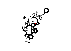 CC(C)[C@@H]1NC(=O)[C@@H](NC(=O)OCc2ccccc2)Cc2ccc3c(c2)[C@]24c5cccc(c5NC2O3)-c2ccc(O)c3[nH]cc(c23)-c2cnc(o2)-c2nc1oc24